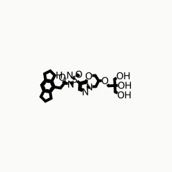 NS(=O)(=NC(=O)Cc1c2c(cc3c1CCC3)CCC2)c1cnn2c1OCC(OCC(O)(CO)CO)C2